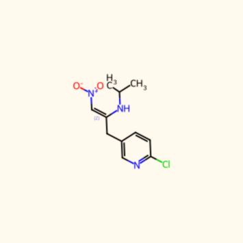 CC(C)N/C(=C\[N+](=O)[O-])Cc1ccc(Cl)nc1